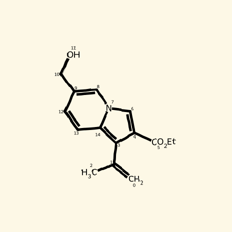 C=C(C)c1c(C(=O)OCC)cn2cc(CO)ccc12